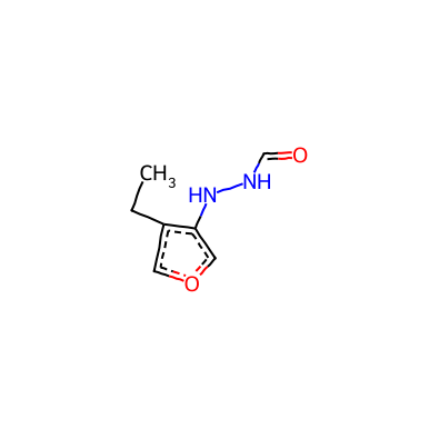 CCc1cocc1NNC=O